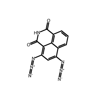 [N-]=[N+]=Nc1cc(N=[N+]=[N-])c2cccc3c2c1C(=O)NC3=O